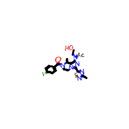 CC(=O)N(CCO)c1nc(-c2nc(C)ns2)n2c1C(C)N(C(=O)c1ccc(F)cc1)CC2